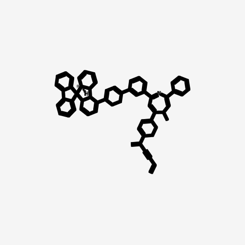 C=CC#CC(=C)C1=CC=C(C2=CC(c3cccc(C4=CC=C(C5=CC=CC6C5C5C=CC=C[C@@H]5C65C6=C=C=CC=C6c6ccccc65)CC4)c3)=NC(c3ccccc3)=CC2C)CC1